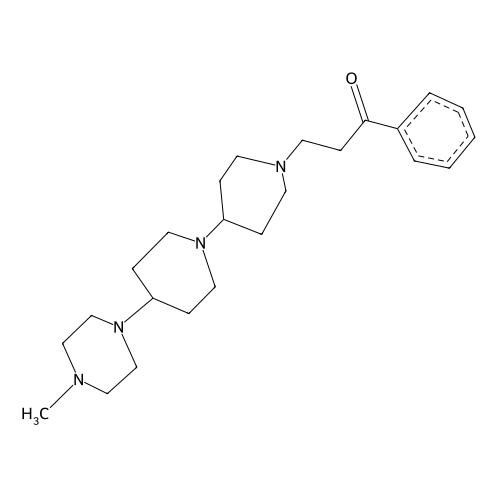 CN1CCN(C2CCN(C3CCN(CCC(=O)c4ccccc4)CC3)CC2)CC1